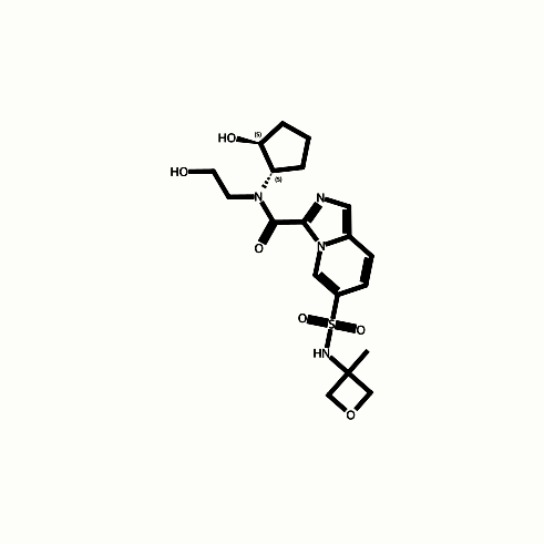 CC1(NS(=O)(=O)c2ccc3cnc(C(=O)N(CCO)[C@H]4CCC[C@@H]4O)n3c2)COC1